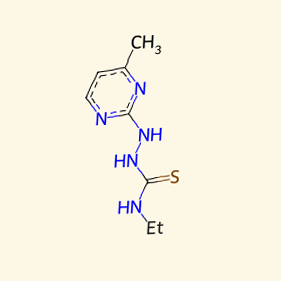 CCNC(=S)NNc1nccc(C)n1